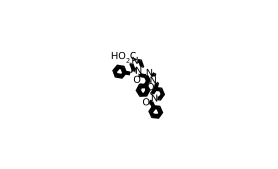 O=C(O)N1CCN(C(=O)c2ncn(CC3(O)CCCN(C(=O)c4ccccc4)C3)c2-c2ccccc2)[C@H](Cc2ccccc2)C1